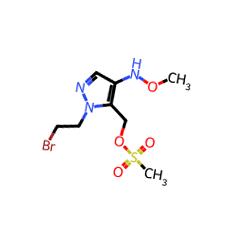 CONc1cnn(CCBr)c1COS(C)(=O)=O